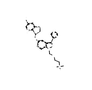 CS(C)(C)CCOCn1nc(-c2cnco2)c2cc(OC3CCc4cc(Br)cnc43)ccc21